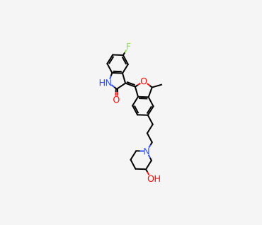 CC1O/C(=C2/C(=O)Nc3ccc(F)cc32)c2ccc(CCCN3CCCC(O)C3)cc21